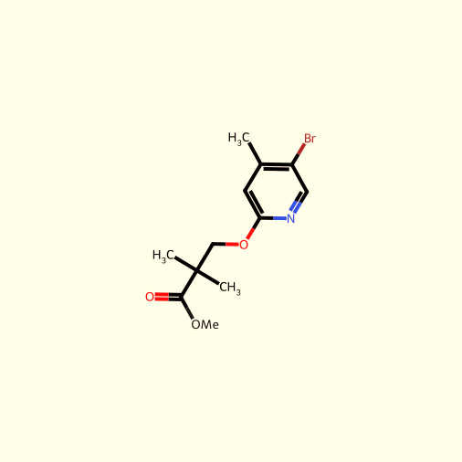 COC(=O)C(C)(C)COc1cc(C)c(Br)cn1